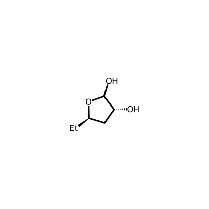 CC[C@@H]1C[C@@H](O)C(O)O1